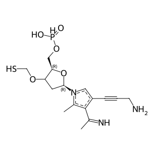 CC(=N)c1c(C#CCN)cn([C@H]2CC(OCS)[C@@H](CO[PH](=O)O)O2)c1C